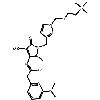 CNc1c(/N=C(\S)Cc2cccc(N(C)C)n2)n(C)n(Cc2ccn(COCC[Si](C)(C)C)n2)c1=O